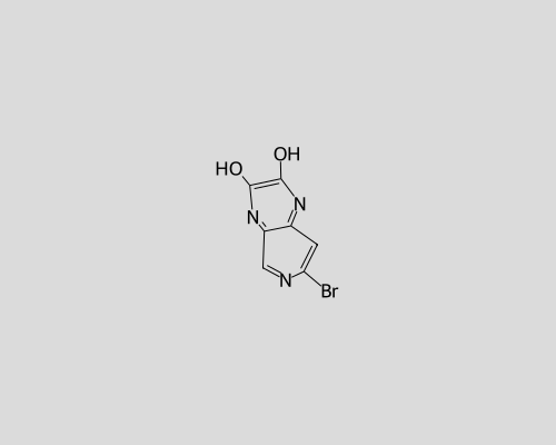 Oc1nc2cnc(Br)cc2nc1O